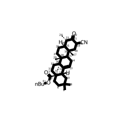 CCCCOC(=O)[C@]12CCC(C)(C)C[C@H]1C1=CCC3[C@@]4(C)CC(C#N)C(=O)[C@@H](C)[C@@H]4CC[C@@]3(C)[C@]1(C)CC2